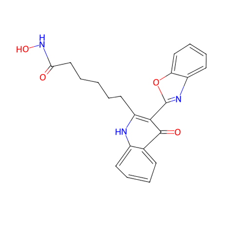 O=C(CCCCCc1[nH]c2ccccc2c(=O)c1-c1nc2ccccc2o1)NO